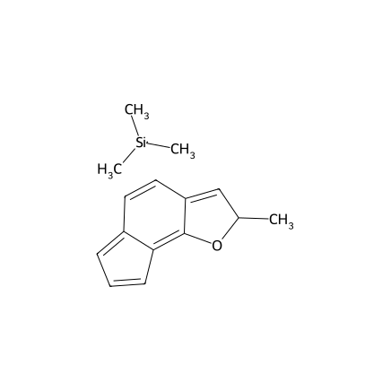 CC1C=c2ccc3c(c2O1)C=CC=3.C[Si](C)C